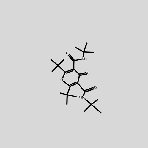 CC(C)(C)NC(=O)c1c(C(C)(C)C)oc(C(C)(C)C)c(C(=O)NC(C)(C)C)c1=O